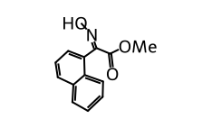 COC(=O)/C(=N/O)c1cccc2ccccc12